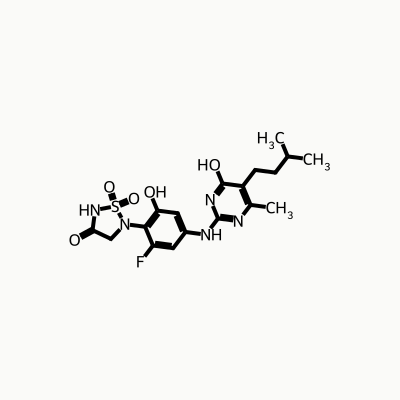 Cc1nc(Nc2cc(O)c(N3CC(=O)NS3(=O)=O)c(F)c2)nc(O)c1CCC(C)C